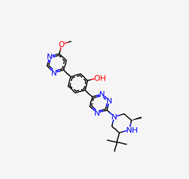 COc1cc(-c2ccc(-c3cnc(N4CC(C(C)(C)C)N[C@H](C)C4)nn3)c(O)c2)ncn1